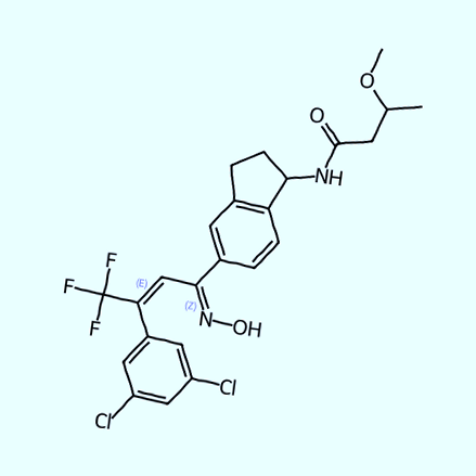 COC(C)CC(=O)NC1CCc2cc(C(/C=C(\c3cc(Cl)cc(Cl)c3)C(F)(F)F)=N\O)ccc21